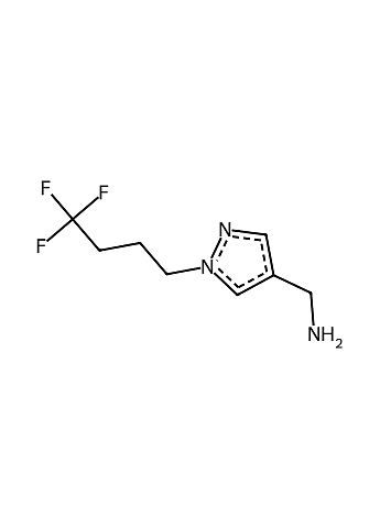 NCc1cnn(CCCC(F)(F)F)c1